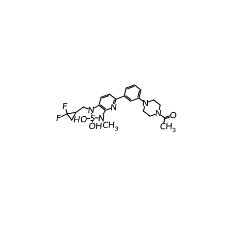 CC(=O)N1CCN(c2cccc(-c3ccc4c(n3)N(C)S(O)(O)N4CC3CC3(F)F)c2)CC1